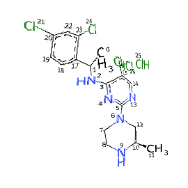 CC(Nc1nc(N2CCN[C@H](C)C2)ncc1Cl)c1ccc(Cl)cc1Cl.Cl.Cl